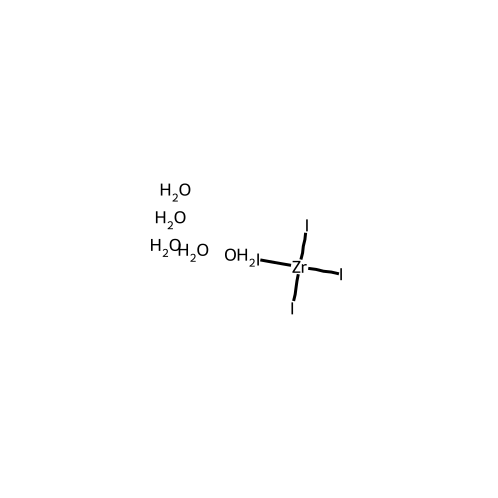 O.O.O.O.O.[I][Zr]([I])([I])[I]